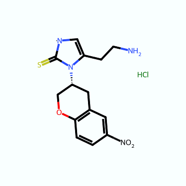 Cl.NCCC1=C[N]C(=S)N1[C@H]1COc2ccc([N+](=O)[O-])cc2C1